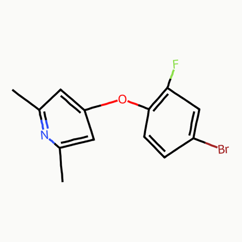 Cc1cc(Oc2ccc(Br)cc2F)cc(C)n1